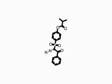 CC(C)C(=O)Oc1ccc(S(=O)(=O)C(=[N+]=[N-])C(=O)c2ccccc2)cc1